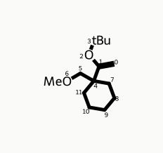 C=C(OC(C)(C)C)C1(COC)CCCCC1